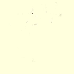 COc1cccc(C=C2CCCCC(C)(N(C)C)C2(O)c2ccc(Cl)c(C(F)(F)F)c2)c1